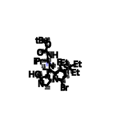 CC[Si](CC)(CC)c1cc(Br)nc([C@@](C)(/N=C(/NC(=O)OC(C)(C)C)C(C)C)[C@H]2CCN=S2O)c1F